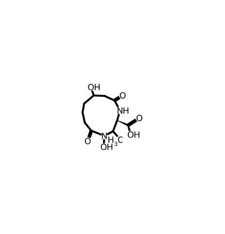 CC1[C@H](C(=O)O)NC(=O)CC(O)CCCC(=O)N1O